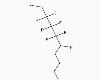 [CH2]CC(F)(F)C(F)(F)C(F)(F)C(F)CCCC